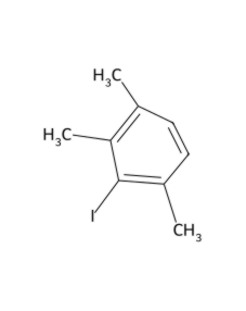 Cc1ccc(C)c(I)c1C